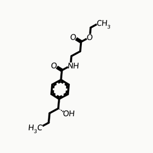 CCC[C@@H](O)c1ccc(C(=O)NCCC(=O)OCC)cc1